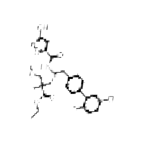 CCOC(=O)C(C)(COC)C[C@@H](Cc1ccc(-c2cc(Cl)ccc2F)cc1)NC(=O)c1cc(O)no1